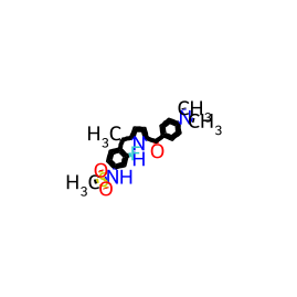 CC(c1ccc(C(=O)c2ccc(N(C)C)cc2)[nH]1)c1ccc(NS(C)(=O)=O)cc1F